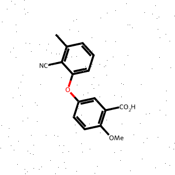 COc1ccc(Oc2cccc(C)c2C#N)cc1C(=O)O